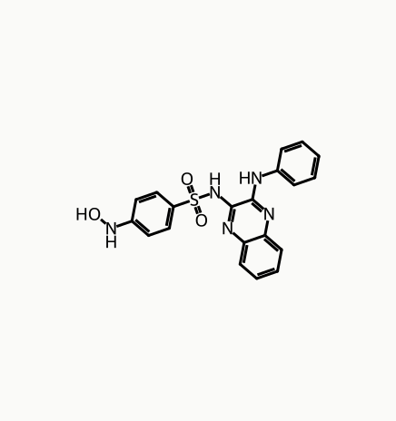 O=S(=O)(Nc1nc2ccccc2nc1Nc1ccccc1)c1ccc(NO)cc1